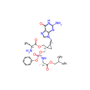 CCCC(CCC)COC(=O)[C@H](C)N[P@](=O)(OC[C@@]1(COC(=O)[C@@H](N)C(C)C)C/C1=C/n1cnc2c(=O)[nH]c(N)nc21)Oc1ccccc1